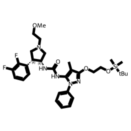 COCCN1C[C@H](NC(=O)Nc2c(C)c(OCCO[Si](C)(C)C(C)(C)C)nn2-c2ccccc2)[C@H](c2cccc(F)c2F)C1